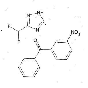 FC(F)c1nc[nH]n1.O=C(c1ccccc1)c1cccc([N+](=O)[O-])c1